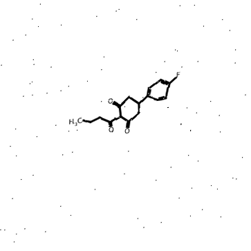 CCCC(=O)C1C(=O)CC(c2ccc(F)cc2)CC1=O